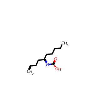 C=CCCC(CCCCC)=NC(=O)O